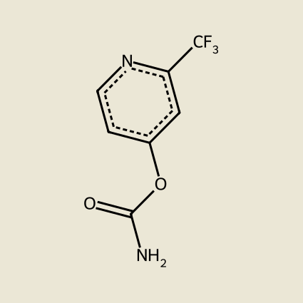 NC(=O)Oc1ccnc(C(F)(F)F)c1